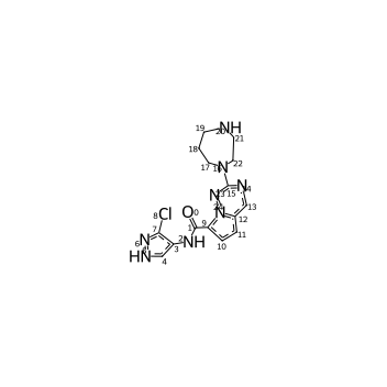 O=C(Nc1c[nH]nc1Cl)c1ccc2cnc(N3CCCNCC3)nn12